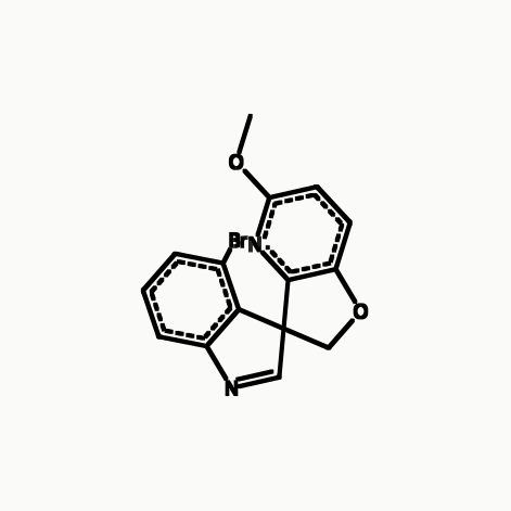 COc1ccc2c(n1)C1(C=Nc3cccc(Br)c31)CO2